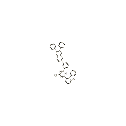 Clc1nc(-c2cccc(-c3ccc4cc(-c5ccccc5)c(-c5ccccc5)cc4c3)c2)nc(-c2cccc3sc4ccccc4c23)n1